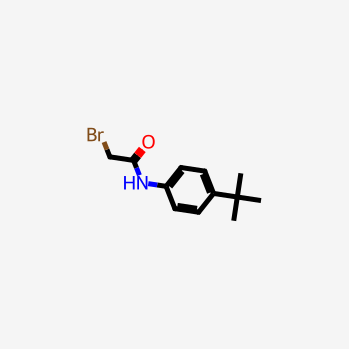 CC(C)(C)c1ccc(NC(=O)CBr)cc1